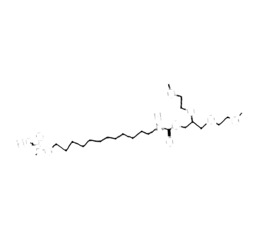 COCCOCC(COC(=O)NCCCCCCCCCCCCOP(C)(=O)O)OCCOC